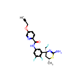 C#CCOc1ccc(C(=O)Nc2cc(F)c(F)c([C@]3(CF)C[C@@H](C)SC(N)=N3)c2)nc1